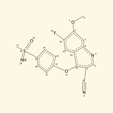 COc1cc2ncc(C#N)c(Oc3ccc(S(C)(=N)=O)cc3)c2cc1F